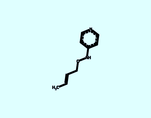 C/C=C/CONc1ccncc1